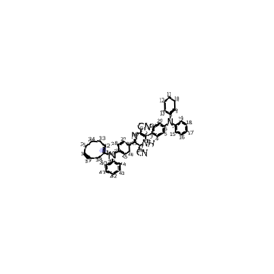 N#CC1=C(c2ccc(N(C3=CCCC=C3)c3ccccc3)cc2)NC(C#N)C(C2C=CC(N(/C3=C/CCCC#CC3)c3ccccc3)=CC2)=N1